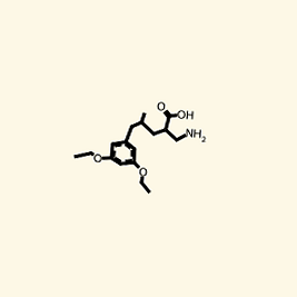 CCOc1cc(CC(C)CC(CN)C(=O)O)cc(OCC)c1